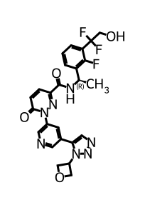 C[C@@H](NC(=O)c1ccc(=O)n(-c2cncc(-c3cnnn3C3COC3)c2)n1)c1cccc(C(F)(F)CO)c1F